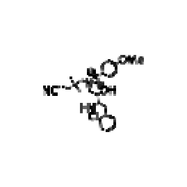 COc1ccc(S(=O)(=O)N(CC(O)C(Cc2ccccc2)NCl)CC(C)(C)CCC#N)cc1